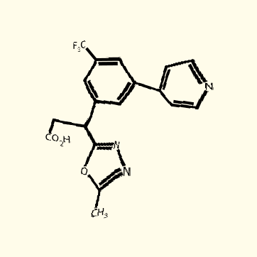 Cc1nnc(C(CC(=O)O)c2cc(-c3ccncc3)cc(C(F)(F)F)c2)o1